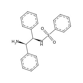 N[C@H](c1ccccc1)[C@H](NS(=O)(=O)c1ccccc1)c1ccccc1